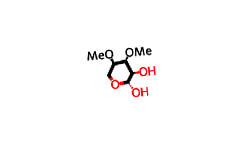 CO[C@@H]1[C@@H](O)[C@H](O)OC[C@H]1OC